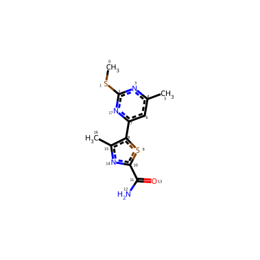 CSc1nc(C)cc(-c2sc(C(N)=O)nc2C)n1